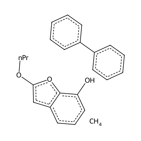 C.CCCOc1cc2cccc(O)c2o1.c1ccc(-c2ccccc2)cc1